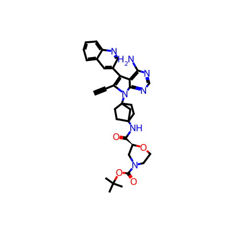 C#Cc1c(-c2cnc3ccccc3c2)c2c(N)ncnc2n1C12CCC(NC(=O)[C@@H]3CN(C(=O)OC(C)(C)C)CCO3)(CC1)C2